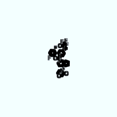 CN(C(=O)C(F)(F)F)[C@@H]1CCN(C(=O)N2CC[C@@H](CN3CCOCC3=O)C3(CCCC3)C2)[C@H](c2cc(F)ccc2F)C1